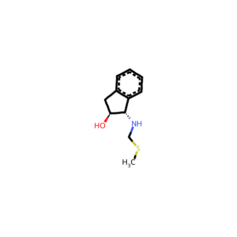 CSCN[C@H]1c2ccccc2C[C@@H]1O